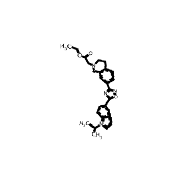 CCOC(=O)CN1CCc2ccc(-c3noc(-c4ccc5c(ccn5C(C)C)c4)n3)cc2C1